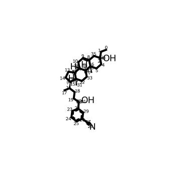 CC[C@]1(O)CC[C@@]2(C)C(=CC[C@H]3[C@@H]4CC[C@H](C(C)CC[C@H](O)c5cccc(C#N)c5)[C@@]4(C)CC[C@@H]32)C1